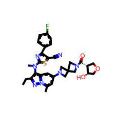 CCc1nn2c(C)cc(N3CC4(CN(C(=O)[C@@H]5COC[C@H]5O)C4)C3)cc2c1N(C)c1nc(-c2ccc(F)cc2)c(C#N)s1